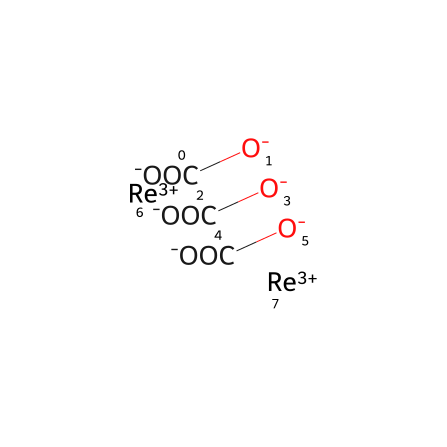 O=C([O-])[O-].O=C([O-])[O-].O=C([O-])[O-].[Re+3].[Re+3]